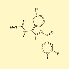 CNC(=O)[C@H](C)c1c(C)n(C(=O)c2ccc(F)c(F)c2)c2ccc(O)cc12